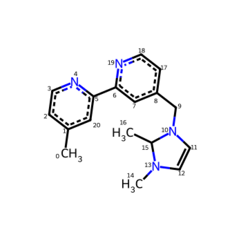 Cc1ccnc(-c2cc(CN3C=CN(C)C3C)ccn2)c1